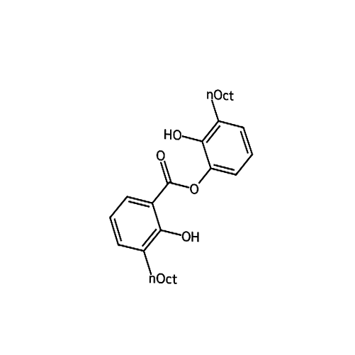 CCCCCCCCc1cccc(OC(=O)c2cccc(CCCCCCCC)c2O)c1O